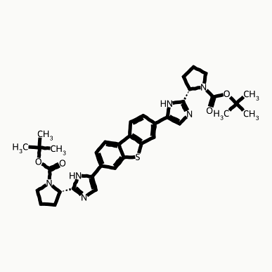 CC(C)(C)OC(=O)N1CCC[C@H]1c1ncc(-c2ccc3c(c2)sc2cc(-c4cnc([C@@H]5CCCN5C(=O)OC(C)(C)C)[nH]4)ccc23)[nH]1